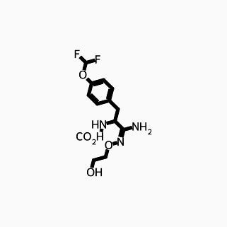 N/C(=N/OCCO)C(Cc1ccc(OC(F)F)cc1)NC(=O)O